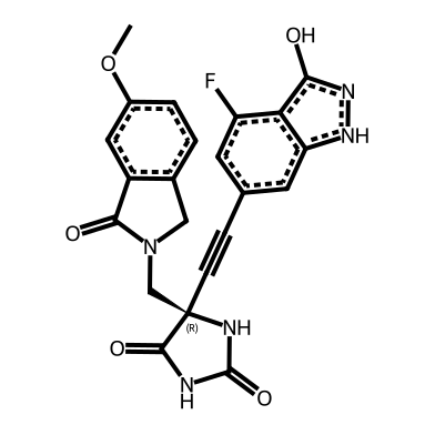 COc1ccc2c(c1)C(=O)N(C[C@@]1(C#Cc3cc(F)c4c(O)n[nH]c4c3)NC(=O)NC1=O)C2